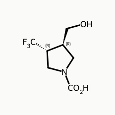 O=C(O)N1C[C@H](CO)[C@@H](C(F)(F)F)C1